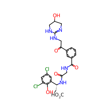 O=C(O)C[C@@H](NC(=O)CNC(=O)c1cccc(C(=O)CNC2=NCC(O)CN2)c1)c1cc(Cl)cc(Cl)c1O